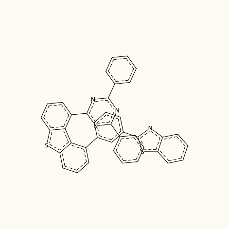 c1ccc(-c2nc(-c3ccccc3)nc(-c3cccc4sc5cccc(-c6cccc(-c7nc8ccccc8s7)c6)c5c34)n2)cc1